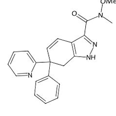 CON(C)C(=O)c1n[nH]c2c1C=CC(c1ccccc1)(c1ccccn1)C2